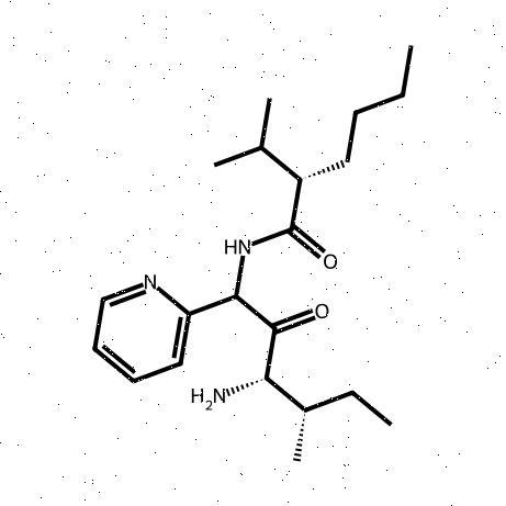 CCCC[C@H](C(=O)NC(C(=O)[C@@H](N)[C@@H](C)CC)c1ccccn1)C(C)C